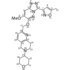 COc1cc2nnc(-c3cc(C)on3)n2nc1OCc1ccc2c(n1)CCN(C1CCOCC1)C2